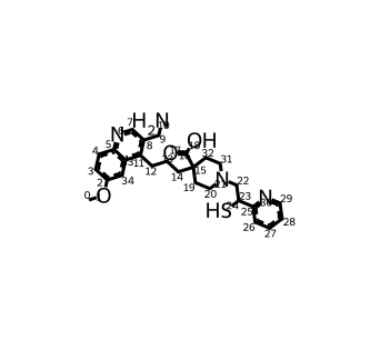 COc1ccc2ncc(CN)c(CCCC3(C(=O)O)CCN(CC(S)c4ccccn4)CC3)c2c1